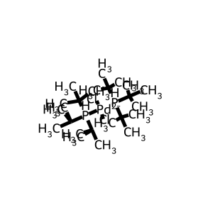 CC(C)(C)[PH](C(C)(C)C)(C(C)(C)C)[Pd-2]([Cl])([Cl])[PH](C(C)(C)C)(C(C)(C)C)C(C)(C)C